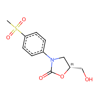 CS(=O)(=O)c1ccc(N2C[C@H](CO)OC2=O)cc1